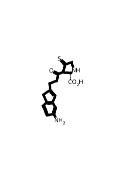 Nc1ccc2c(c1)C=C(CCC(=O)C1C(=S)CN[C@@H]1C(=O)O)C2